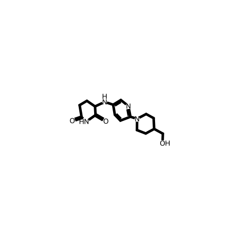 O=C1CCC(Nc2ccc(N3CCC(CO)CC3)nc2)C(=O)N1